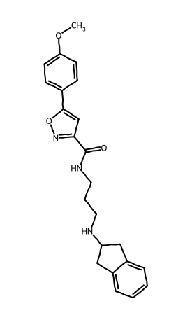 COc1ccc(-c2cc(C(=O)NCCCNC3Cc4ccccc4C3)no2)cc1